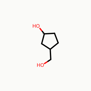 OCC1CC[C](O)C1